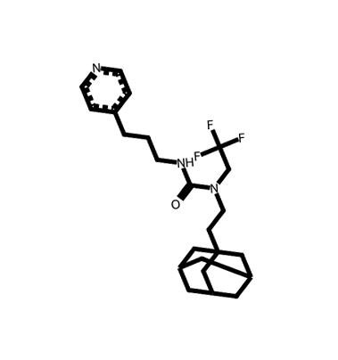 O=C(NCCCc1ccncc1)N(CCC12CC3CC(CC(C3)C1)C2)CC(F)(F)F